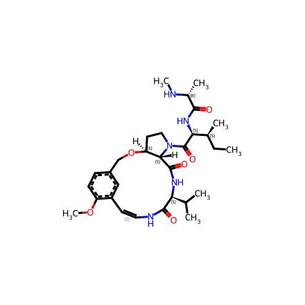 CC[C@H](C)[C@H](NC(=O)[C@@H](C)NC)C(=O)N1CC[C@@H]2OCc3ccc(OC)c(c3)/C=C\NC(=O)[C@H](C(C)C)NC(=O)[C@H]21